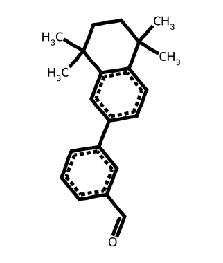 CC1(C)CCC(C)(C)c2cc(-c3cccc(C=O)c3)ccc21